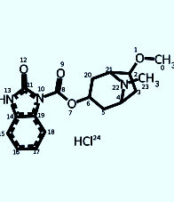 COC1CC2CC(OC(=O)n3c(=O)[nH]c4ccccc43)CC1N2C.Cl